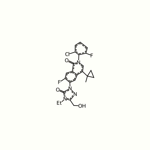 CCn1c(CO)nn(-c2cc3c(C4(C)CC4)cn(-c4c(F)cccc4Cl)c(=O)c3cc2F)c1=O